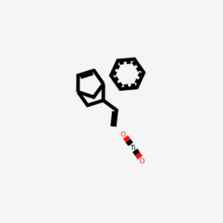 C=CC1CC2C=CC1C2.[O]=[Ti]=[O].c1ccccc1